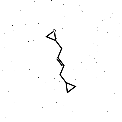 C(=CCC1CO1)CC1CC1